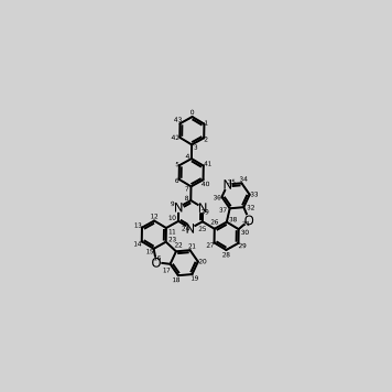 c1ccc(-c2ccc(-c3nc(-c4cccc5oc6ccccc6c45)nc(-c4cccc5oc6ccncc6c45)n3)cc2)cc1